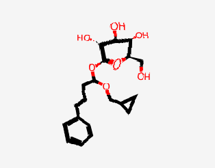 OC[C@H]1O[C@@H](OC(CCCc2ccccc2)OCC2CC2)[C@H](O)[C@@H](O)[C@@H]1O